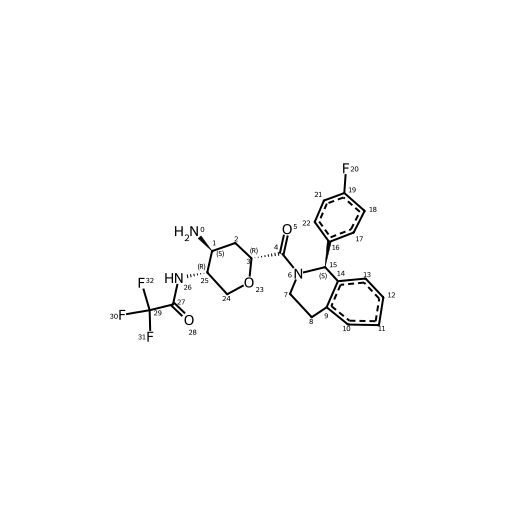 N[C@H]1C[C@H](C(=O)N2CCc3ccccc3[C@@H]2c2ccc(F)cc2)OC[C@@H]1NC(=O)C(F)(F)F